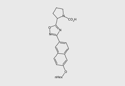 CCCCCCOc1ccc2cc(-c3noc(C4CCCN4C(=O)O)n3)ccc2c1